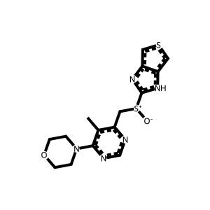 Cc1c(C[S+]([O-])c2nc3cscc3[nH]2)ncnc1N1CCOCC1